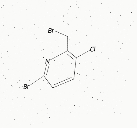 Clc1ccc(Br)nc1CBr